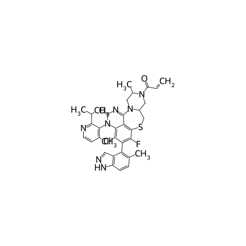 C=CC(=O)N1CC2CSc3c(F)c(-c4c(C)ccc5[nH]ncc45)c(Cl)c4c3c(nc(=O)n4-c3c(C)ccnc3C(C)C)N2CC1C